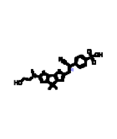 CN(CCO)c1cc2c(s1)-c1sc(/C=C(\C#N)c3ccc(S(=O)(=O)O)cc3)cc1C2(C)C